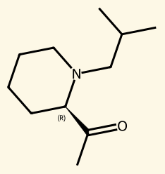 CC(=O)[C@H]1CCCCN1CC(C)C